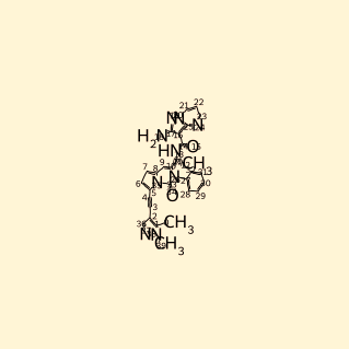 Cc1c(C#Cc2ccc3cc([C@@H](C)NC(=O)c4c(N)nn5cccnc45)n(-c4ccccc4)c(=O)n23)cnn1C